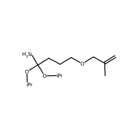 C=C(C)COCCCC([SiH3])(OC(C)C)OC(C)C